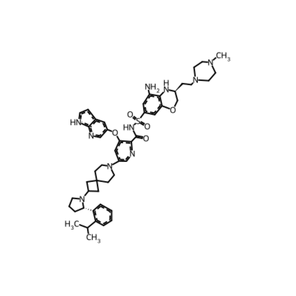 CC(C)c1ccccc1[C@@H]1CCCN1C1CC2(CCN(c3cnc(C(=O)NS(=O)(=O)c4cc(N)c5c(c4)OC[C@H](CCN4CCN(C)CC4)N5)c(Oc4cnc5[nH]ccc5c4)c3)CC2)C1